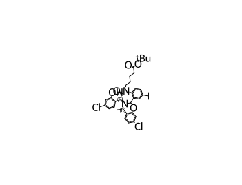 C[C@H](c1ccc(Cl)cc1)N1C(=O)c2cc(I)ccc2N(CCCCC(=O)OC(C)(C)C)C(=O)[C@@H]1c1ccc(Cl)cc1O